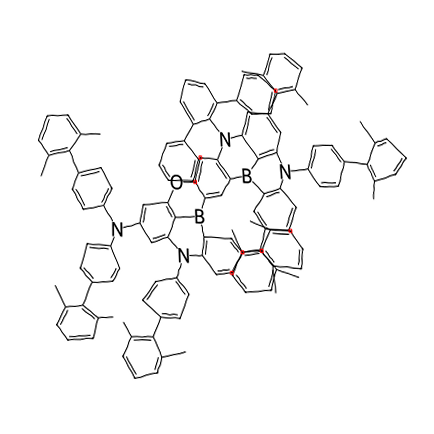 Cc1cccc(C)c1-c1ccc(N(c2ccc(-c3c(C)cccc3C)cc2)c2cc3c4c(c2)N(c2ccc(-c5c(C)cccc5C)cc2)c2ccc(-c5c(C)cccc5C)cc2B4c2cc4c(cc2O3)N(c2c(-c3ccccc3)cccc2-c2ccccc2)c2cc(-c3c(C)cccc3C)cc3c2B4c2cc(-c4c(C)cccc4C)ccc2N3c2ccc(-c3c(C)cccc3C)cc2)cc1